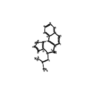 CC(C)CC(Nc1cnc2ccccc2c1)c1nn[nH]n1